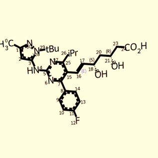 Cc1cc(Nc2nc(-c3ccc(F)cc3)c(/C=C/[C@@H](O)C[C@@H](O)CC(=O)O)c(C(C)C)n2)n(C(C)(C)C)n1